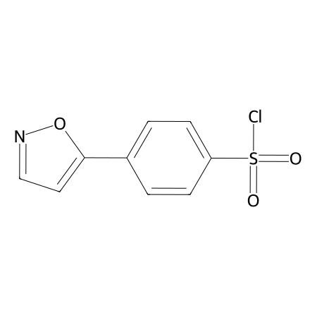 O=S(=O)(Cl)c1ccc(-c2ccno2)cc1